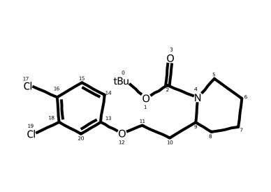 CC(C)(C)OC(=O)N1CCCCC1CCOc1ccc(Cl)c(Cl)c1